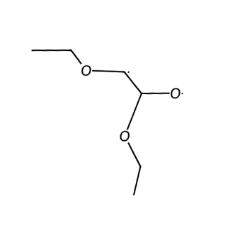 CCO[CH]C([O])OCC